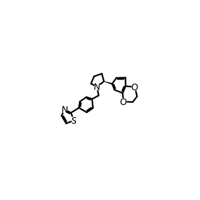 c1csc(-c2ccc(CN3CCC[C@H]3c3ccc4c(c3)OCCO4)cc2)n1